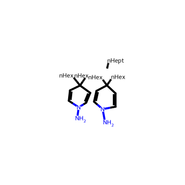 CCCCCCC1(CCCCCC)C=CN(N)C=C1.CCCCCCC1(CCCCCC)C=CN(N)C=C1.CCCCCCCC